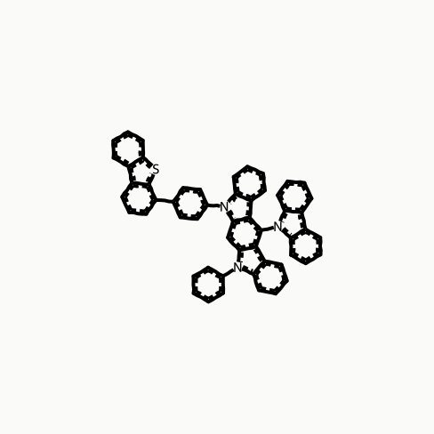 c1ccc(-n2c3ccccc3c3c(-n4c5ccccc5c5ccccc54)c4c5ccccc5n(-c5ccc(-c6cccc7c6sc6ccccc67)cc5)c4cc32)cc1